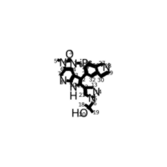 CC(C)n1c(=O)n(C)c2cnc3[nH]c(-c4cnn(CC(C)(C)O)c4)c(-c4ccc5cnccc5c4)c3c21